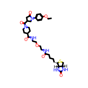 CCOc1ccc(N2CC(C(=O)N3CCC(C(=O)NCCOCCNC(=O)CCCC[C@@H]4SC[C@@H]5NC(=O)N[C@@H]54)CC3)CC2=O)cc1